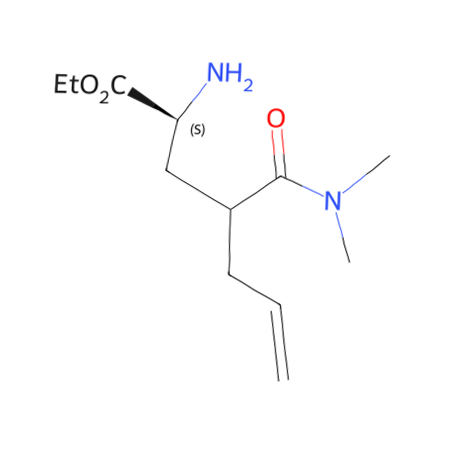 C=CCC(C[C@H](N)C(=O)OCC)C(=O)N(C)C